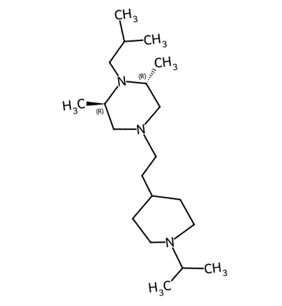 CC(C)CN1[C@H](C)CN(CCC2CCN(C(C)C)CC2)C[C@H]1C